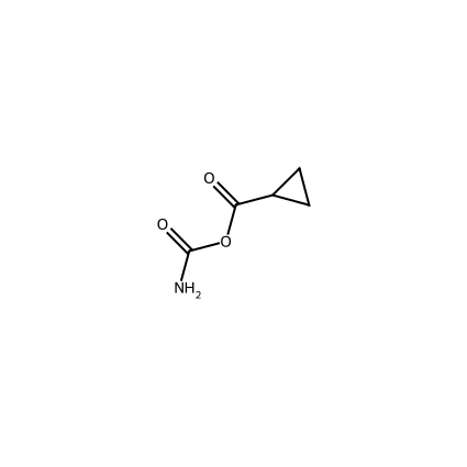 NC(=O)OC(=O)C1CC1